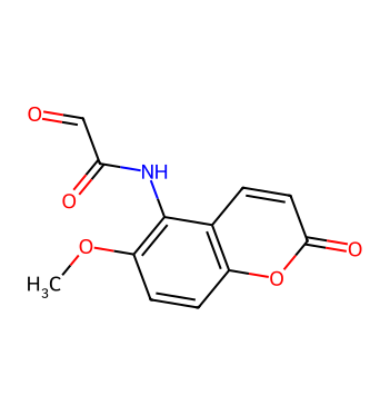 COc1ccc2oc(=O)ccc2c1NC(=O)C=O